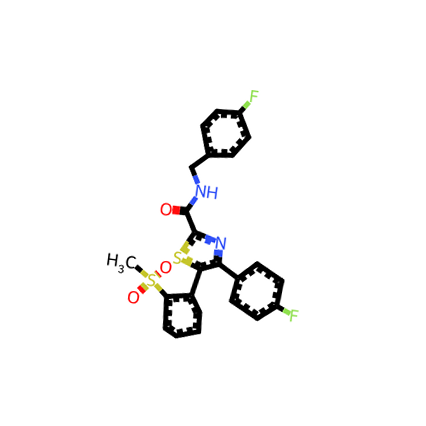 CS(=O)(=O)c1ccccc1-c1sc(C(=O)NCc2ccc(F)cc2)nc1-c1ccc(F)cc1